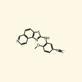 [C-]#[N+]c1ccc(OC)c(Nc2nc3c(ccc4cnccc43)s2)c1